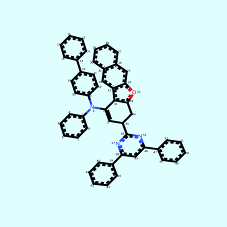 C1=C(N(c2ccccc2)c2ccc(-c3ccccc3)cc2)c2c(oc3cc4ccccc4cc23)CC1c1nc(-c2ccccc2)cc(-c2ccccc2)n1